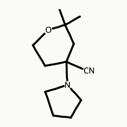 CC1(C)CC(C#N)(N2CCCC2)CCO1